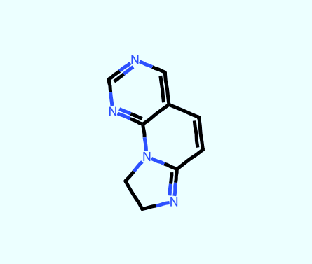 C1=Cc2cncnc2N2CCN=C12